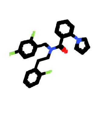 O=C(c1ccccc1-n1cccc1)N(CCc1ccccc1F)Cc1ccc(F)cc1F